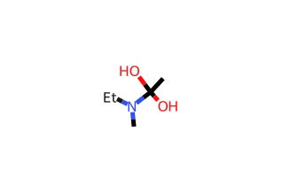 CCN(C)C(C)(O)O